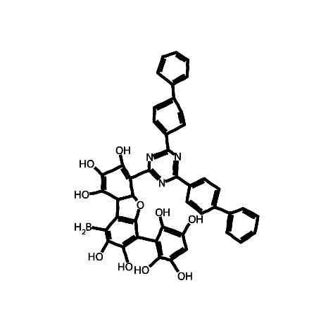 Bc1c(O)c(O)c(-c2c(O)c(O)cc(O)c2O)c2c1C1C(O)=C(O)C(O)=C(c3nc(-c4ccc(-c5ccccc5)cc4)nc(-c4ccc(-c5ccccc5)cc4)n3)C1O2